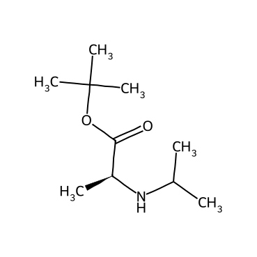 CC(C)N[C@@H](C)C(=O)OC(C)(C)C